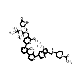 COc1nc(-c2cccc(-c3ccnc(-c4cnc5c(CNC6CCN(C(C)=O)CC6)cn(C)c5c4)c3Cl)c2Cl)ccc1CN(C[C@@H]1CCC(=O)N1)C(=O)OC(C)(C)C